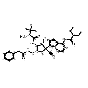 CCC(CC)C(=O)Nc1ncnn2c([C@]3(C#N)O[C@H](COC(=O)Cc4ccccc4)[C@@H](OC(=O)[C@H](N)C(C)(C)C)[C@H]3O)ccc12